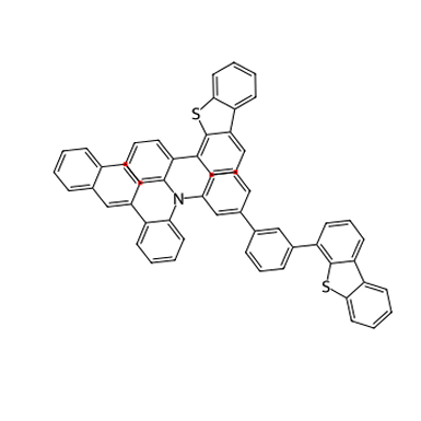 c1cc(-c2cccc(N(c3ccccc3-c3ccc4ccccc4c3)c3ccccc3-c3cccc4c3sc3ccccc34)c2)cc(-c2cccc3c2sc2ccccc23)c1